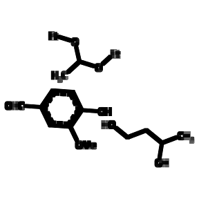 CC(O)CCO.CCOC(C)OCC.COc1cc(C=O)ccc1O